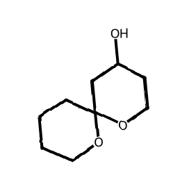 OC1CCOC2(CCCCO2)C1